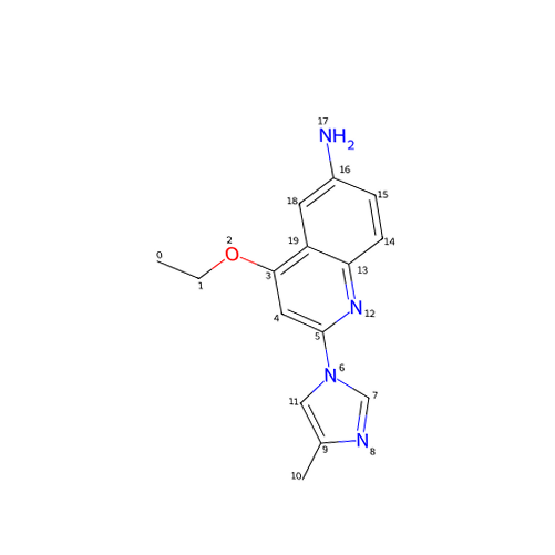 CCOc1cc(-n2cnc(C)c2)nc2ccc(N)cc12